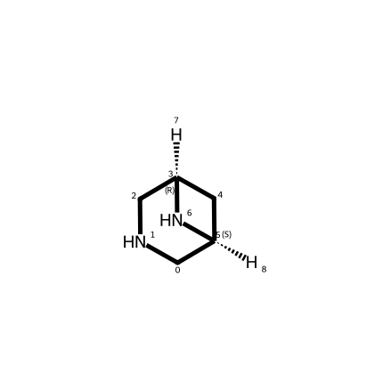 C1NC[C@H]2C[C@@H]1N2